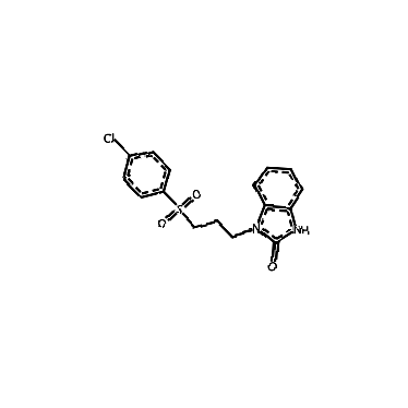 O=c1[nH]c2ccccc2n1CCCS(=O)(=O)c1ccc(Cl)cc1